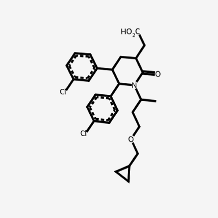 CC(CCOCC1CC1)N1C(=O)C(CC(=O)O)CC(c2cccc(Cl)c2)C1c1ccc(Cl)cc1